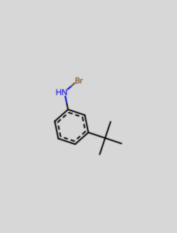 CC(C)(C)c1cccc(NBr)c1